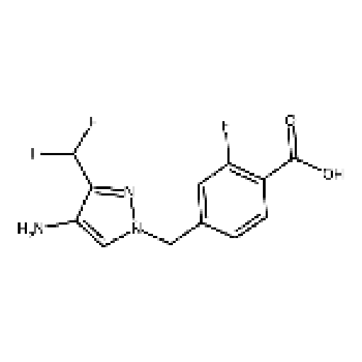 Nc1cn(Cc2ccc(C(=O)O)c(F)c2)nc1C(F)F